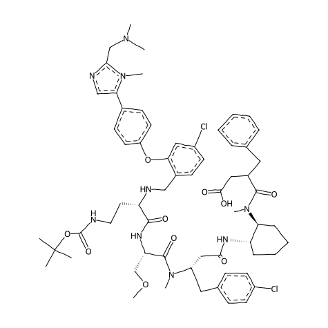 COC[C@H](NC(=O)[C@H](CCNC(=O)OC(C)(C)C)NCc1ccc(Cl)cc1Oc1ccc(-c2cnc(CN(C)C)n2C)cc1)C(=O)N(C)[C@H](CC(=O)N[C@H]1CCCC[C@@H]1N(C)C(=O)C(CC(=O)O)Cc1ccccc1)Cc1ccc(Cl)cc1